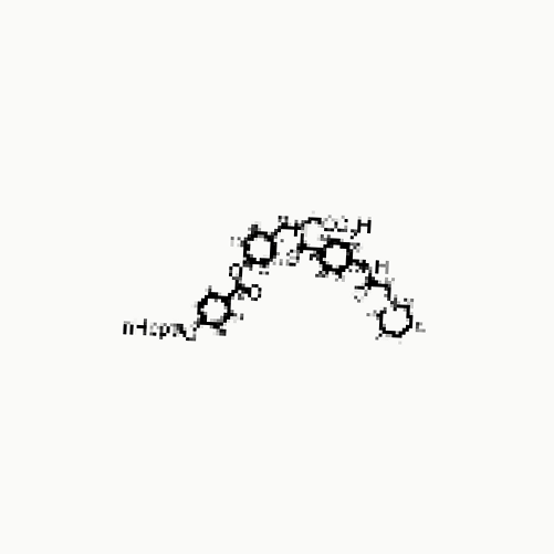 CCCCCCCOc1ccc(C(=O)Oc2ccc(CN(CC(=O)O)C(=O)c3ccc(NC(=O)CN4CCCCC4)cc3)cc2)cc1